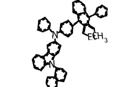 C/C=c1/c(-c2ccccc2)c2ccccc2c(-c2ccc(N(c3ccccc3)c3ccc4c(c3)c3ccccc3n4-c3cccc4ccccc34)cc2)/c1=C/CC